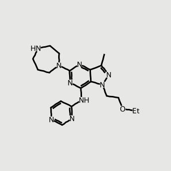 CCOCCn1nc(C)c2nc(N3CCCNCC3)nc(Nc3ccncn3)c21